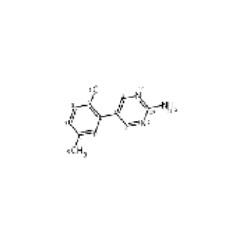 Cc1ccc(Cl)c(-c2cnc(N)nc2)c1